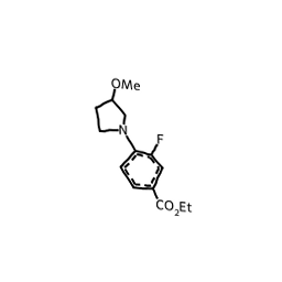 CCOC(=O)c1ccc(N2CCC(OC)C2)c(F)c1